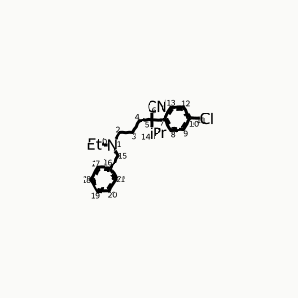 CCN(CCCC(C#N)(c1ccc(Cl)cc1)C(C)C)Cc1ccccc1